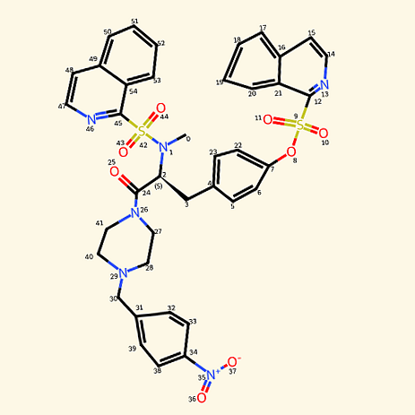 CN([C@@H](Cc1ccc(OS(=O)(=O)c2nccc3ccccc23)cc1)C(=O)N1CCN(Cc2ccc([N+](=O)[O-])cc2)CC1)S(=O)(=O)c1nccc2ccccc12